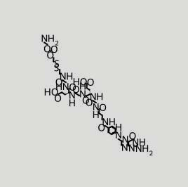 NCCOC(=O)OCCSSCCNC(=O)CNC(=O)[C@H](CCC(=O)O)NC(=O)CNC(=O)[C@H](CCC(=O)O)NC(=O)CNC(=O)CCCNC(=O)c1ccc(NCc2cnc3nc(N)[nH]c(=O)c3n2)cc1